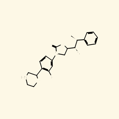 C[C@@H](c1ccccc1)[C@@H](N)C1CN(c2ccc(C3CNCCO3)c(F)c2)C(=O)O1